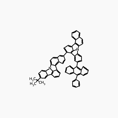 CC(C)(C)c1ccc2c(c1)c1cccc3c4c5ccc(-c6ccc7c8c9ccccc9ccc8n8c9ccc(-c%10c%11ccccc%11c(-c%11ccccc%11)c%11ccccc%10%11)cc9c6c78)cc5ccc4n2c13